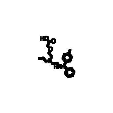 CCCN(CCN[C@@H](c1ccccc1)c1ccc(C)cc1)CCOCC(=O)O